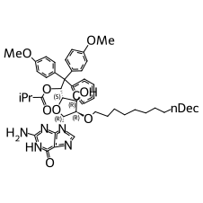 CCCCCCCCCCCCCCCCCCO[C@@H]1[C@H](O)[C@@H](C(OC(=O)C(C)C)C(c2ccccc2)(c2ccc(OC)cc2)c2ccc(OC)cc2)O[C@H]1n1cnc2c(=O)[nH]c(N)nc21